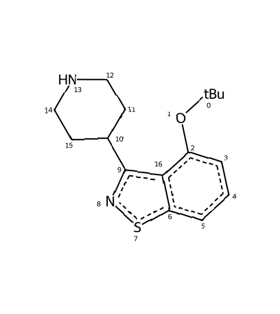 CC(C)(C)Oc1cccc2snc(C3CCNCC3)c12